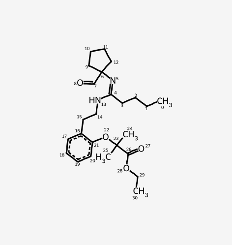 CCCC/C(=N/C1(C=O)CCCC1)NCCc1ccccc1OC(C)(C)C(=O)OCC